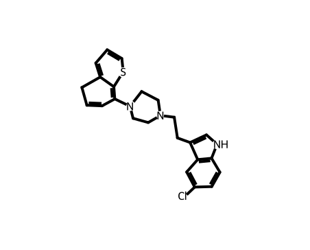 Clc1ccc2[nH]cc(CCN3CCN(C4=C5SC=CC=C5CC=C4)CC3)c2c1